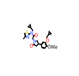 COc1ccc(C2CC(=O)N(CC(=O)N(CC3CC3)c3nc(C)cs3)C2)cc1OCC1CC1